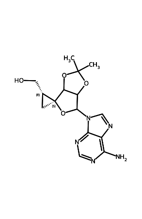 CC1(C)OC2C(n3cnc4c(N)ncnc43)O[C@]3(C[C@@H]3CO)C2O1